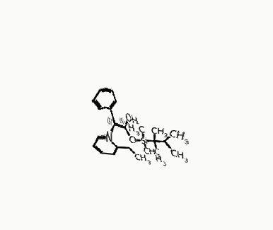 CCC1CC=CCN1[C@@H](c1ccccc1)[C@@H](O)O[Si](C)(C)C(C)(C)C(C)C